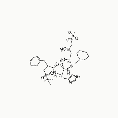 CC(C)(C)S(=O)(=O)CC(Cc1ccccc1)C(=O)N[C@@H](Cc1c[nH]cn1)C(=O)N[C@@H](CC1CCCCC1)[C@@H](O)C[C@H](O)CNS(C)(=O)=O